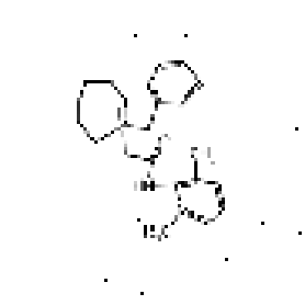 Cc1cccc(C)c1NC(=O)C[PH]1(Cc2ccccc2)CCCCCC1